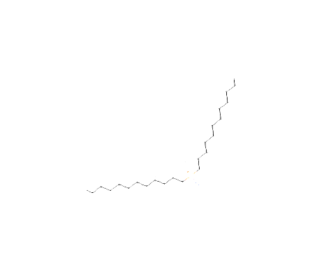 CCCCCCCCCCCCP(N)(=O)CCCCCCCCCCCC